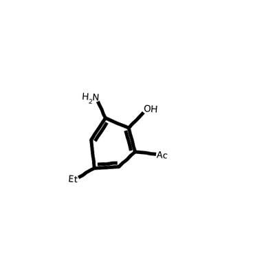 CCc1cc(N)c(O)c(C(C)=O)c1